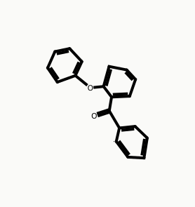 O=C(c1[c]cccc1)c1ccccc1Oc1ccccc1